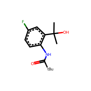 CC(C)(C)C(=O)Nc1ccc(F)cc1C(C)(C)O